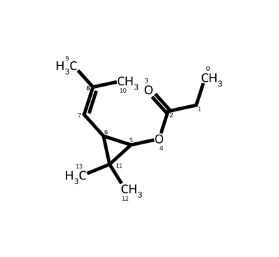 CCC(=O)OC1C(C=C(C)C)C1(C)C